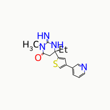 CC[C@@]1(c2cc(-c3cccnc3)cs2)CC(=O)N(C)C(=N)N1